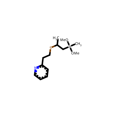 CO[Si](C)(CC(C)SCCc1ccccn1)OC